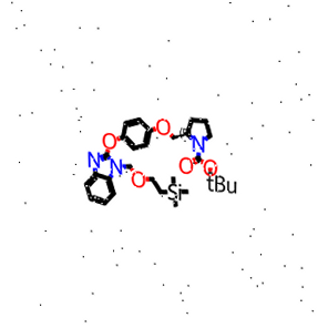 CC(C)(C)OC(=O)N1CCC[C@@H]1COc1ccc(Oc2nc3ccccc3n2COCC[Si](C)(C)C)cc1